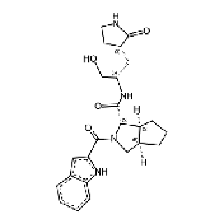 O=C1NCC[C@H]1C[C@@H](CO)NC(=O)[C@@H]1[C@H]2CCC[C@H]2CN1C(=O)c1cc2ccccc2[nH]1